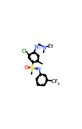 CCN(C)/C=N\c1cc(C)c(S(C)(=O)=Nc2cccc(C(F)(F)F)c2)cc1Cl